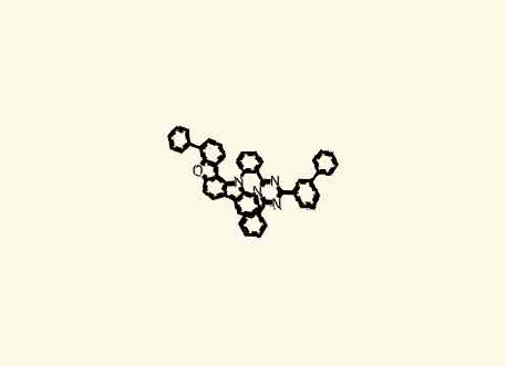 c1ccc(-c2cccc(-c3nc(-c4ccccc4)nc(-c4ccccc4-n4c5ccccc5c5ccc6oc7c(-c8ccccc8)cccc7c6c54)n3)c2)cc1